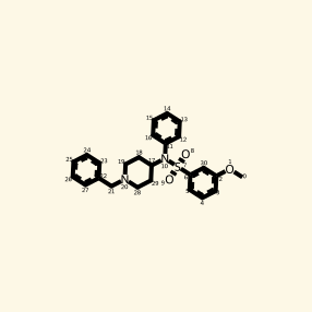 COc1cccc(S(=O)(=O)N(c2ccccc2)C2CCN(Cc3ccccc3)CC2)c1